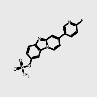 O=S(=O)(Oc1ccc2nc3cc(-c4ccc(F)nc4)ccn3c2c1)C(F)(F)F